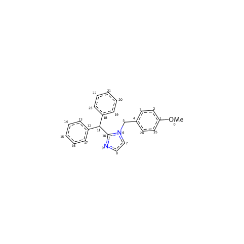 COc1ccc(Cn2ccnc2C(c2ccccc2)c2ccccc2)cc1